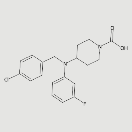 O=C(O)N1CCC(N(Cc2ccc(Cl)cc2)c2cccc(F)c2)CC1